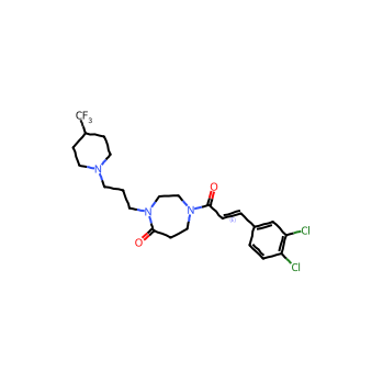 O=C(/C=C/c1ccc(Cl)c(Cl)c1)N1CCC(=O)N(CCCN2CCC(C(F)(F)F)CC2)CC1